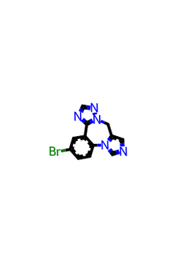 Brc1ccc2c(c1)-c1ncnn1Cc1cncn1-2